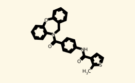 Cc1sccc1C(=O)Nc1ccc(C(=O)N2Cc3ccccc3Oc3ccccc32)cc1